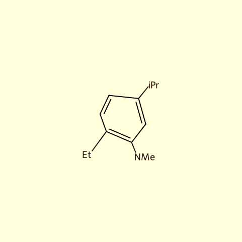 CCc1ccc(C(C)C)cc1NC